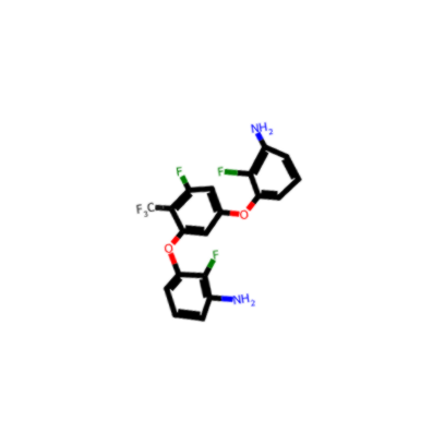 Nc1cccc(Oc2cc(F)c(C(F)(F)F)c(Oc3cccc(N)c3F)c2)c1F